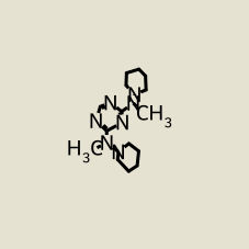 CN(c1ncnc(N(C)N2CCCCC2)n1)N1CCCCC1